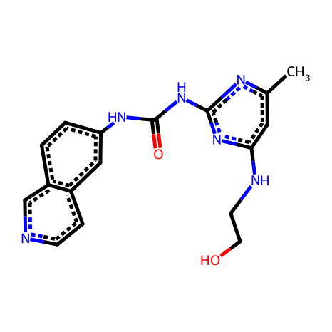 Cc1cc(NCCO)nc(NC(=O)Nc2ccc3cnccc3c2)n1